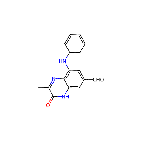 Cc1nc2c(Nc3ccccc3)cc(C=O)cc2[nH]c1=O